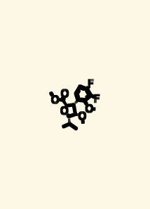 COC(=O)[C@@H]1O[C@@H](C(C)C)[C@@H](OC)[C@H]1c1ccc(F)c(F)c1OC